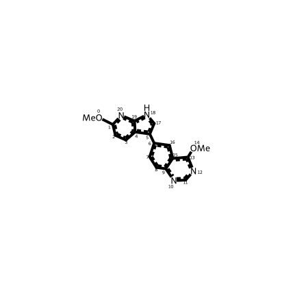 COc1ccc2c(-c3ccc4ncnc(OC)c4c3)c[nH]c2n1